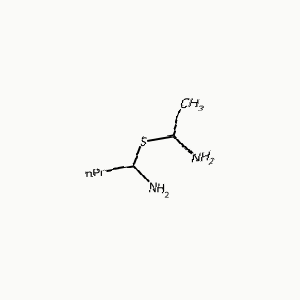 CCCC(N)SC(C)N